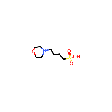 O=S(=O)(O)CCCCN1CCOCC1